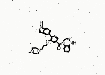 C[C@H]1CCN(C(=O)c2ccc(-c3ccc4[nH]ccc4c3)c(OCCCN3CCN(C)CC3)c2)c2ccccc2N1